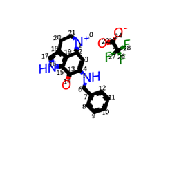 C[N+]1=C2C=C(NCc3ccccc3)C(=O)c3[nH]cc(c32)CC1.O=C([O-])C(F)(F)F